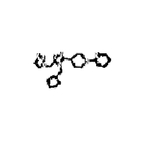 c1ccc(Cn2c(Cn3ccnn3)nnc2C2CCN(c3ccccn3)CC2)cc1